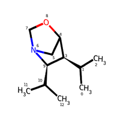 CC(C)[C@@H]1C2CN(CO2)[C@@H]1C(C)C